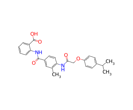 Cc1cc(C(=O)Nc2ccccc2C(=O)O)ccc1NC(=O)COc1ccc(C(C)C)cc1